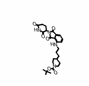 CC(C)(C)OC(=O)N1CCC(CCCNc2cccc3c2C(=O)N(C2CCC(=O)NC2=O)C3=O)CC1